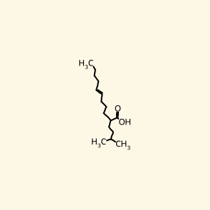 CCCCC=CCCCC(CCC(C)C)C(=O)O